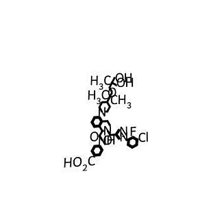 CC(CO)(CO)COC(C)(C)C1CCN(c2cccc3c2CCN(C(=O)c2cnn(-c4cccc(Cl)c4F)c2)C3C(=O)Nc2ccc(C(=O)O)cc2)CC1